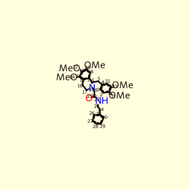 COc1ccc(CC2c3cc(OC)c(OC)c(OC)c3CCN2CC(=O)NCCc2ccccc2)cc1OC